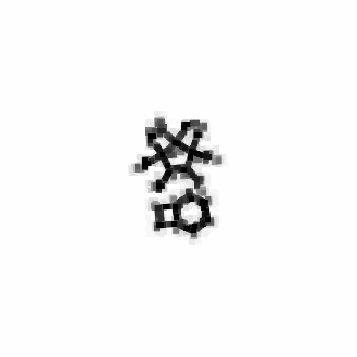 C1=Cc2ccccc21.FC1=C(F)C(F)(F)C(F)(F)C1(F)F